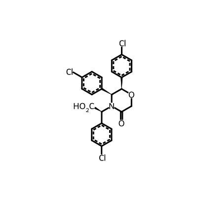 O=C(O)[C@H](c1ccc(Cl)cc1)N1C(=O)CO[C@H](c2ccc(Cl)cc2)[C@@H]1c1ccc(Cl)cc1